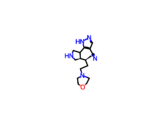 C[C@@H](CCN1CCOCC1)[C@H]1CNCC1c1[nH]ncc1C#N